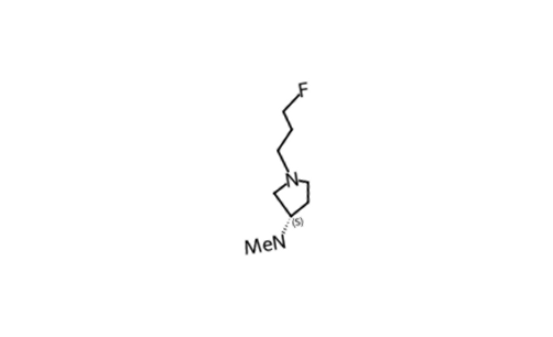 CN[C@H]1CCN(CCCF)C1